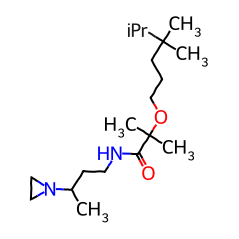 CC(CCNC(=O)C(C)(C)OCCCC(C)(C)C(C)C)N1CC1